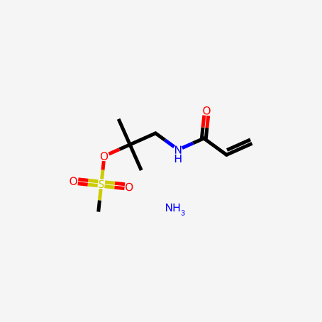 C=CC(=O)NCC(C)(C)OS(C)(=O)=O.N